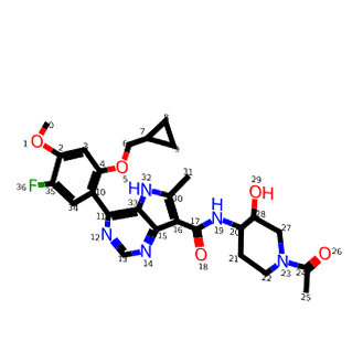 COc1cc(OCC2CC2)c(-c2ncnc3c(C(=O)NC4CCN(C(C)=O)CC4O)c(C)[nH]c23)cc1F